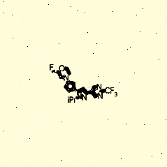 CC(C)n1nc(-c2cnc(C(F)(F)F)nc2)cc1[C@H]1CCC(N2CCO[C@@H](CF)C2)C1